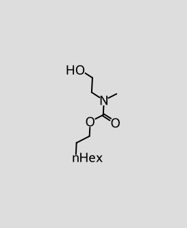 CCCCCCCCOC(=O)N(C)CCO